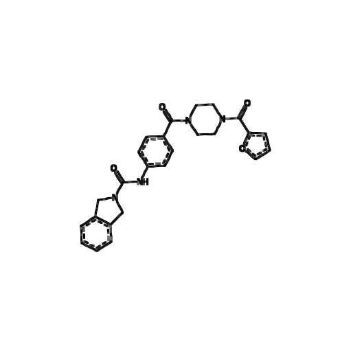 O=C(Nc1ccc(C(=O)N2CCN(C(=O)c3ccco3)CC2)cc1)N1Cc2ccccc2C1